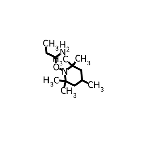 CCC(N)ON1C(C)(C)CC(C)CC1(C)C